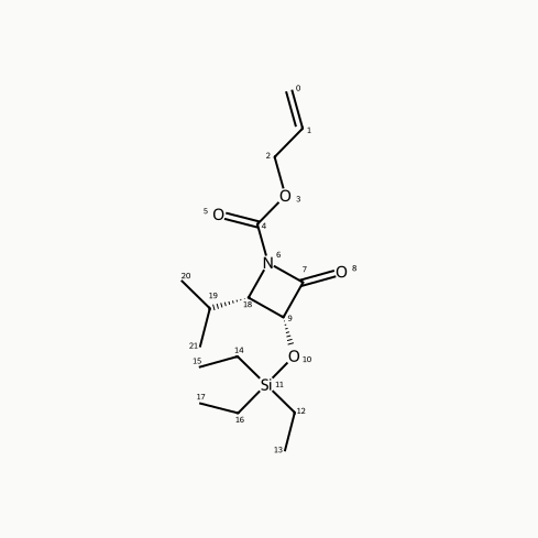 C=CCOC(=O)N1C(=O)[C@H](O[Si](CC)(CC)CC)[C@@H]1C(C)C